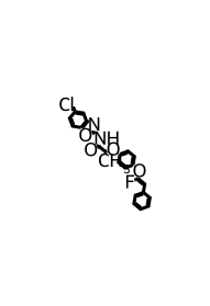 C[C@@H](Oc1ccc(OC(F)=Cc2ccccc2)cc1)C(=O)Nc1nc2cc(Cl)ccc2o1